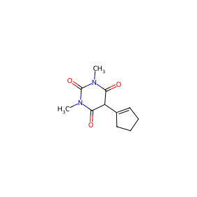 CN1C(=O)C(C2=CCCC2)C(=O)N(C)C1=O